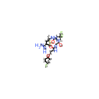 C[C@@H](NC(=O)[C@@H]1C[C@](F)(CF)CN1C(=O)CNC(=O)CCCOc1ccc(F)cc1)c1cc(C(=N)N)cs1